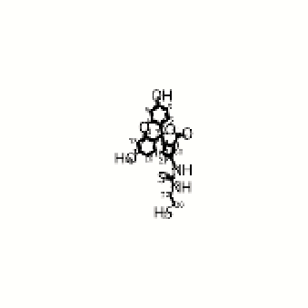 O=C1OC2(c3ccc(O)cc3Oc3cc(O)ccc32)c2ccc(NC(=S)NCCS)cc21